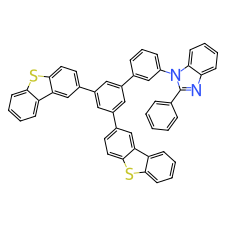 c1ccc(-c2nc3ccccc3n2-c2cccc(-c3cc(-c4ccc5sc6ccccc6c5c4)cc(-c4ccc5sc6ccccc6c5c4)c3)c2)cc1